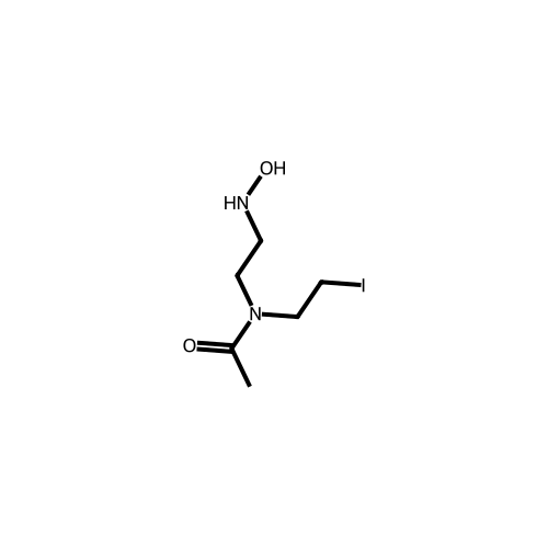 CC(=O)N(CCI)CCNO